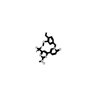 CCc1ccc(Cn2cc(-c3cc(C(F)(F)F)nc([S+](C)[O-])n3)ccc2=O)cc1OC